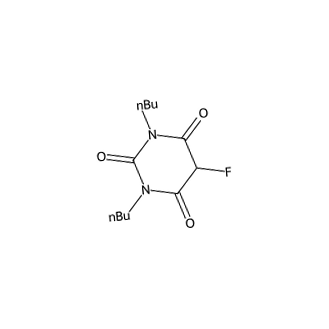 CCCCN1C(=O)C(F)C(=O)N(CCCC)C1=O